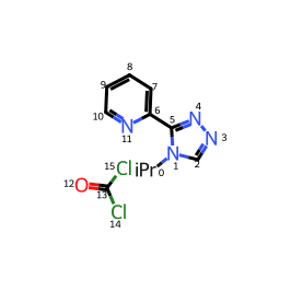 CC(C)n1cnnc1-c1ccccn1.O=C(Cl)Cl